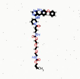 C/C=C\COC(=O)NCCOCCOCCOC(=O)NC/C=C/C(=O)N1CCC[C@@H](n2nc(-c3ccc(Oc4ccccc4)cc3)c3c(N)ncnc32)C1